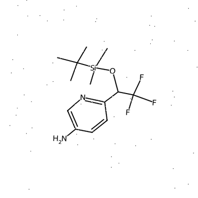 CC(C)(C)[Si](C)(C)OC(c1ccc(N)cn1)C(F)(F)F